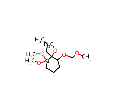 CCCC1(OC)C(OCOC)CCC[Si]1(OC)OC